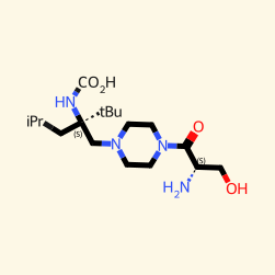 CC(C)C[C@](CN1CCN(C(=O)[C@@H](N)CO)CC1)(NC(=O)O)C(C)(C)C